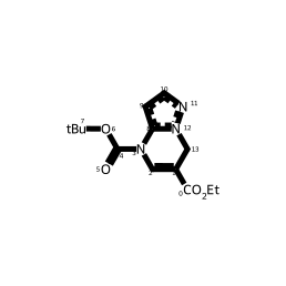 CCOC(=O)C1=CN(C(=O)OC(C)(C)C)c2ccnn2C1